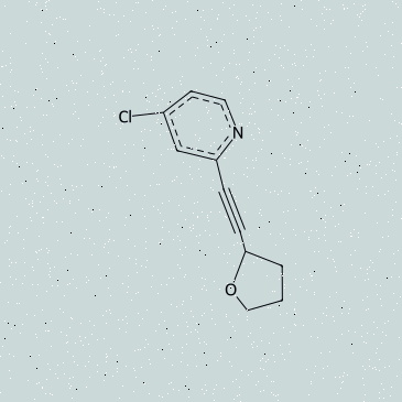 Clc1ccnc(C#CC2CCCO2)c1